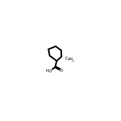 O=C(O)C1CCCCC1.[CaH2]